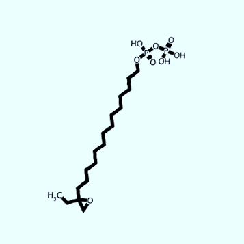 CCC1(CCCCCCCCCCCCCCOP(=O)(O)OP(=O)(O)O)CO1